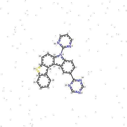 c1cnc(-n2c3ccc(-c4ncncn4)cc3c3c4c(ccc32)sc2ccccc24)nc1